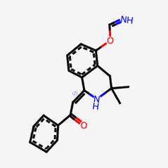 CC1(C)Cc2c(OC=N)cccc2/C(=C/C(=O)c2ccccc2)N1